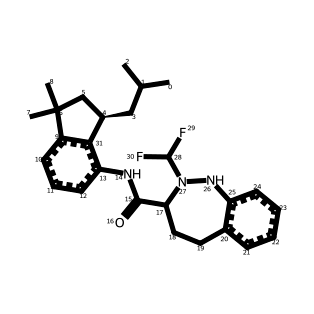 CC(C)C[C@@H]1CC(C)(C)c2cccc(NC(=O)C3CCc4ccccc4NN3C(F)F)c21